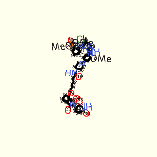 COc1cc(N2CCC(NC(=O)CCCCCOc3cccc4c3C(=O)N(C3CCC(=O)NC3=O)C4=O)CC2)ccc1Nc1ncc(Cl)c(Nc2ccccc2P(=O)(OC)OC)n1